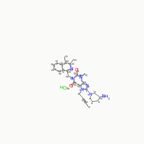 CC#CCn1c(N2CCCC(N)C2)nc2c1c(=O)n(Cc1nc(C)c(C)c3ccccc13)c(=O)n2C.Cl